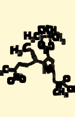 C=C(C=CC(=CC)c1nn(CCN(C)C(=O)O)cc1B1OC(C)(C)C(C)(C)O1)[N+](=O)[O-]